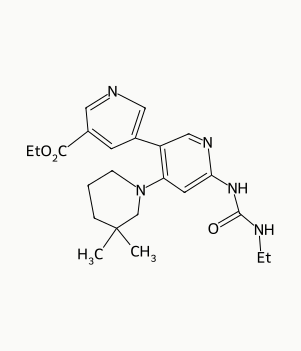 CCNC(=O)Nc1cc(N2CCCC(C)(C)C2)c(-c2cncc(C(=O)OCC)c2)cn1